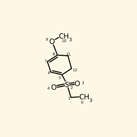 CCS(=O)(=O)C1=CC=C(OC)[CH]C1